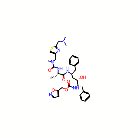 CC(C)[C@H](NC(=O)N(C)Cc1csc(CN(C)C)n1)C(=O)N[C@@H](Cc1ccccc1)C[C@H](O)[C@H](Cc1ccccc1)NC(=O)OCc1ccno1